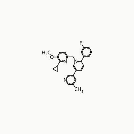 COc1ccc(CN2C=C(c3cncc(C)c3)C=CC2c2cccc(F)c2)nc1C1CC1